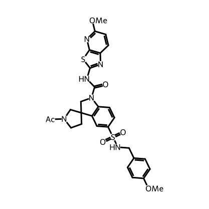 COc1ccc(CNS(=O)(=O)c2ccc3c(c2)C2(CCN(C(C)=O)C2)CN3C(=O)Nc2nc3ccc(OC)nc3s2)cc1